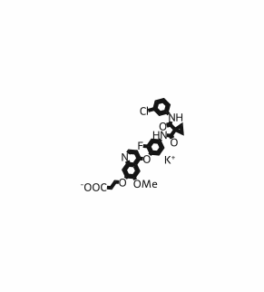 COc1cc2c(Oc3ccc(NC(=O)C4(C(=O)Nc5cccc(Cl)c5)CC4)cc3F)ccnc2cc1OCCC(=O)[O-].[K+]